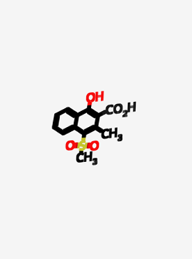 Cc1c(C(=O)O)c(O)c2ccccc2c1S(C)(=O)=O